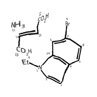 CCn1ccc2ccc(Br)cc21.N.O=C(O)C=CC(=O)O